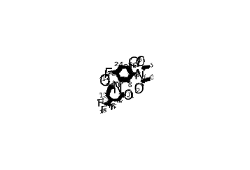 CC(=O)N(C(C)=O)c1cc(N2C(=O)CC(C(F)(F)F)CC2=O)c(F)cc1Cl